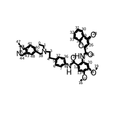 CCN(CCc1ccc(NC(=O)c2cc(OC)c(OC)cc2NC(=O)c2cc(=O)c3ccccc3o2)cc1)Cc1ccc2c(cnn2C)c1